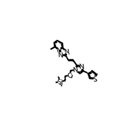 Cc1cccc2nc(/C=C/c3nc(-c4ccsc4)cn3COCC[Si](C)(C)C)nn12